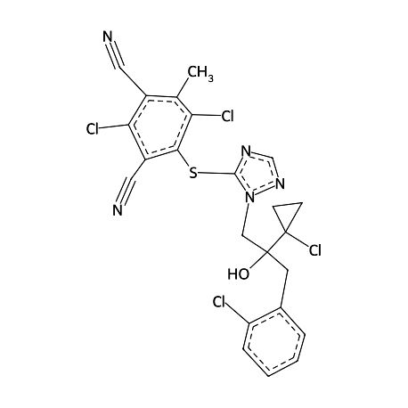 Cc1c(Cl)c(Sc2ncnn2CC(O)(Cc2ccccc2Cl)C2(Cl)CC2)c(C#N)c(Cl)c1C#N